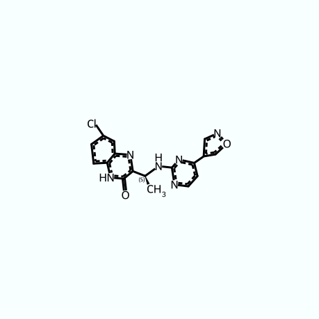 C[C@H](Nc1nccc(-c2cnoc2)n1)c1nc2cc(Cl)ccc2[nH]c1=O